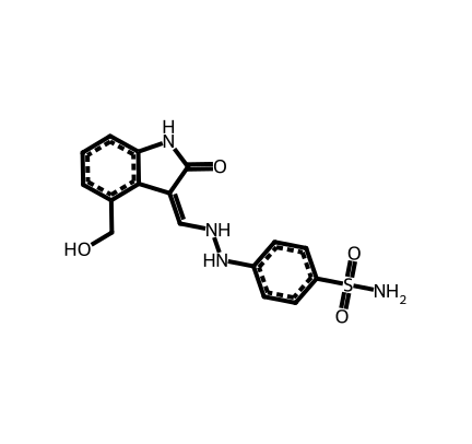 NS(=O)(=O)c1ccc(NNC=C2C(=O)Nc3cccc(CO)c32)cc1